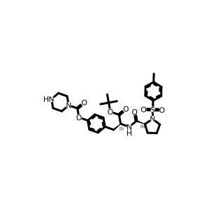 Cc1ccc(S(=O)(=O)N2CCC[C@H]2C(=O)N[C@@H](Cc2ccc(OC(=O)N3CCNCC3)cc2)C(=O)OC(C)(C)C)cc1